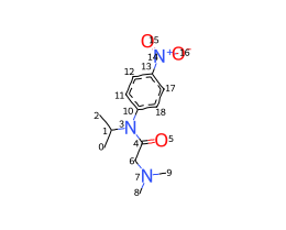 CC(C)N(C(=O)CN(C)C)c1ccc([N+](=O)[O-])cc1